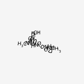 Cc1ccccc1NC(=O)Nc1ccc(CC(=O)Nc2ccc(C(CC(=O)O)NS(=O)(=O)C3=NCN(C)C3)cn2)cc1